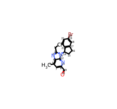 CCc1nc2c(C)cc(C=O)nc2n1C1CCc2cc(Br)ccc21